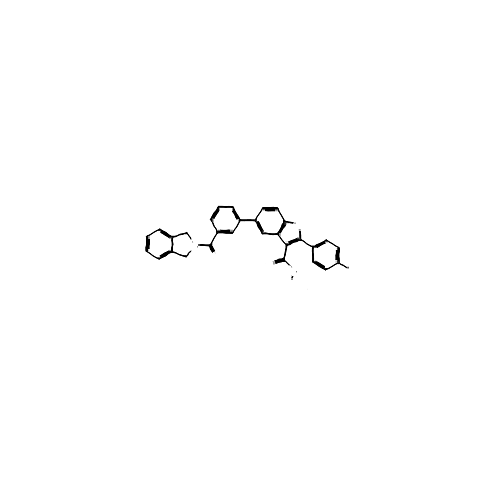 CNC(=O)c1c(-c2ccc(F)cc2)oc2ccc(-c3cccc(C(=O)N4Cc5ccccc5C4)c3)cc12